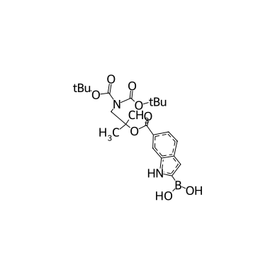 CC(C)(C)OC(=O)N(CC(C)(C)OC(=O)c1ccc2cc(B(O)O)[nH]c2c1)C(=O)OC(C)(C)C